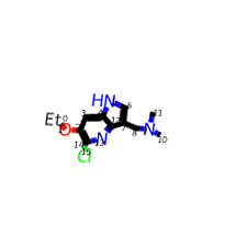 CCOc1cc2[nH]cc(CN(C)C)c2nc1Cl